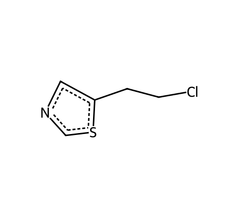 ClCCc1cncs1